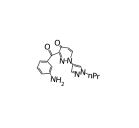 CCCn1cc(-n2ccc(=O)c(C(=O)c3cccc(N)c3)n2)cn1